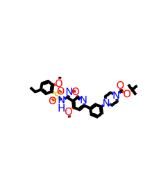 CCc1ccc(OC)c(S(=O)(=O)Nc2noc3nc(-c4cccc(N5CCN(C(=O)OC(C)(C)C)CC5)c4)cc(OC)c23)c1